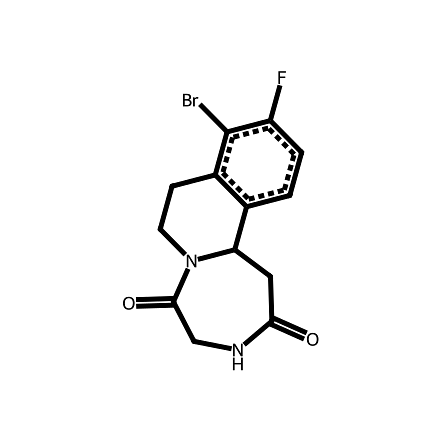 O=C1CC2c3ccc(F)c(Br)c3CCN2C(=O)CN1